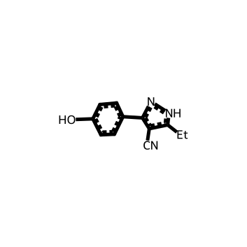 CCc1[nH]nc(-c2ccc(O)cc2)c1C#N